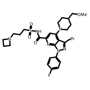 COCC1CCN(c2cc(C(=O)NS(=O)(=O)CCCN3CCC3)nc3c2c(C(C)C)nn3-c2ccc(F)cc2)CC1